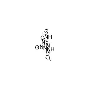 Cc1cccc(/C=N/Nc2nc(N3CCOCC3)c3nc(C(=O)NC4CCOC4)sc3n2)c1